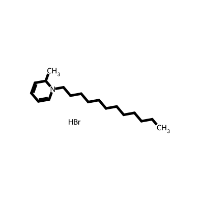 Br.CCCCCCCCCCCCN1C=CC=CC1C